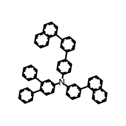 c1ccc(-c2ccc(N(c3ccc(-c4cccc(-c5cccc6ccccc56)c4)cc3)c3cccc(-c4cccc5ccccc45)c3)cc2-c2ccccc2)cc1